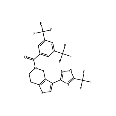 O=C(c1cc(C(F)(F)F)cc(C(F)(F)F)c1)N1CCc2scc(-c3noc(C(F)(F)F)n3)c2C1